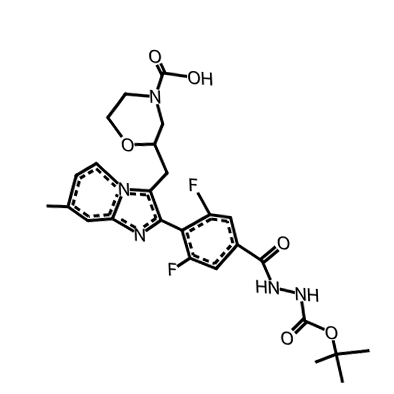 Cc1ccn2c(CC3CN(C(=O)O)CCO3)c(-c3c(F)cc(C(=O)NNC(=O)OC(C)(C)C)cc3F)nc2c1